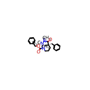 CN(C)N(C)C(=O)[C@@]1(Cc2ccccc2)CCCN(C(=O)OCc2ccccc2)C1